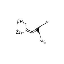 NC(=S)[S-].[CH3][Zn+]